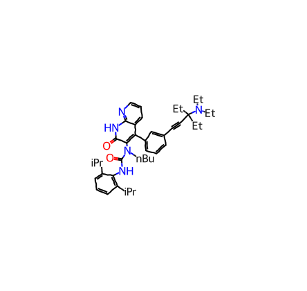 CCCCN(C(=O)Nc1c(C(C)C)cccc1C(C)C)c1c(-c2cccc(C#CC(CC)(CC)N(CC)CC)c2)c2cccnc2[nH]c1=O